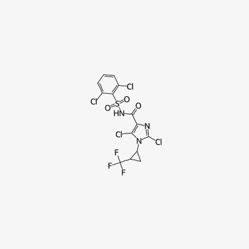 O=C(NS(=O)(=O)c1c(Cl)cccc1Cl)c1nc(Cl)n(C2CC2C(F)(F)F)c1Cl